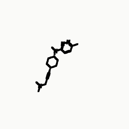 Cc1ccc(N(C)[C@H]2CC[C@H](C#CCN(C)C)CC2)nn1